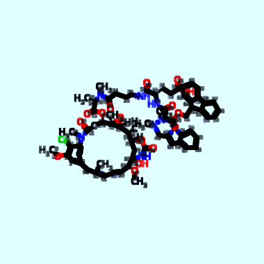 COc1cc2cc(c1Cl)N(C)C(=O)C[C@H](OC(=O)[C@H](C)N(C)C(=O)CCCNC(=O)[C@H](CCC(=O)O)NC(=O)CCn1c(CN(C)N(C)C(=O)OCC3c4ccccc4-c4ccccc43)cc3ccccc31)[C@@]1(C)O[C@H]1[C@H](C)[C@@H]1C[C@@](O)(NC(=O)O1)[C@H](OC)/C=C/C=C(\C)C2